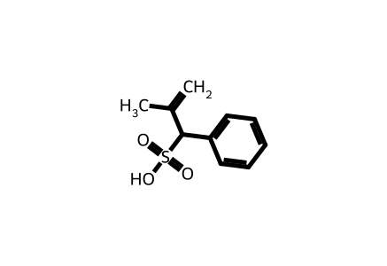 C=C(C)C(c1ccccc1)S(=O)(=O)O